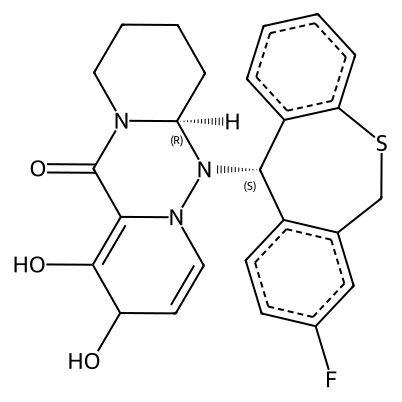 O=C1C2=C(O)C(O)C=CN2N([C@H]2c3ccc(F)cc3CSc3ccccc32)[C@@H]2CCCCN12